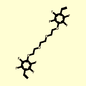 C=Cc1c(F)c(F)c(OCCOCCOCCOc2c(F)c(F)c(C=C)c(F)c2F)c(F)c1F